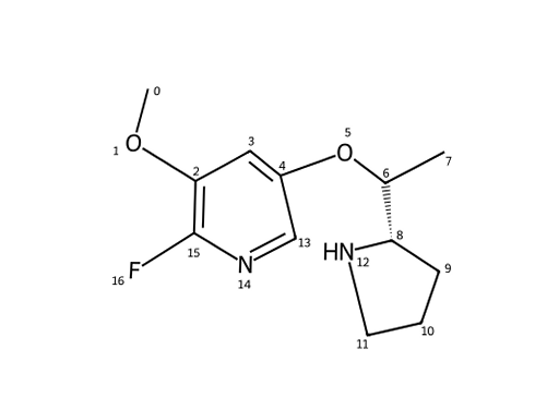 COc1cc(OC(C)[C@@H]2CCCN2)cnc1F